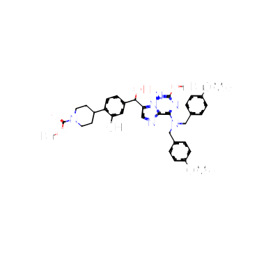 CCCCOc1nc(N(Cc2ccc(OC)cc2)Cc2ccc(OC)cc2)c2ncc(C(O)c3ccc(C4CCN(C(=O)OC(C)(C)C)CC4)c(C)c3)n2n1